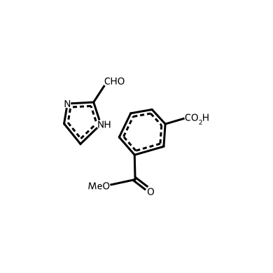 COC(=O)c1cccc(C(=O)O)c1.O=Cc1ncc[nH]1